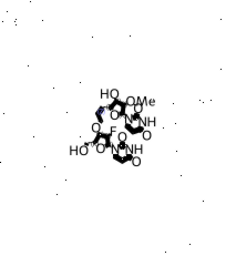 CO[C@@H]1[C@H](O)[C@@H](/C=C\CO[C@H]2[C@@H](F)[C@H](n3ccc(=O)[nH]c3=O)O[C@@H]2CO)O[C@H]1n1ccc(=O)[nH]c1=O